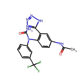 CC(=O)Nc1ccc(N(C(N)=O)c2cccc(C(F)(F)F)c2)c(-c2nnn[nH]2)c1